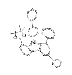 CC1(C)OC(c2cccc3c4cc(-c5ccccc5)cc(-c5ccccc5)c4n(-c4ccc(-c5ccccc5)cc4)c23)OC1(C)C